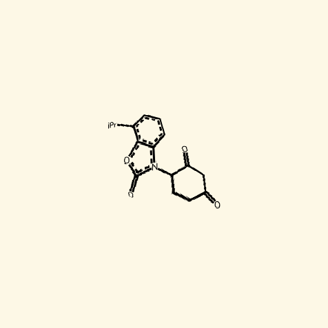 CC(C)c1cccc2c1oc(=O)n2C1CCC(=O)CC1=O